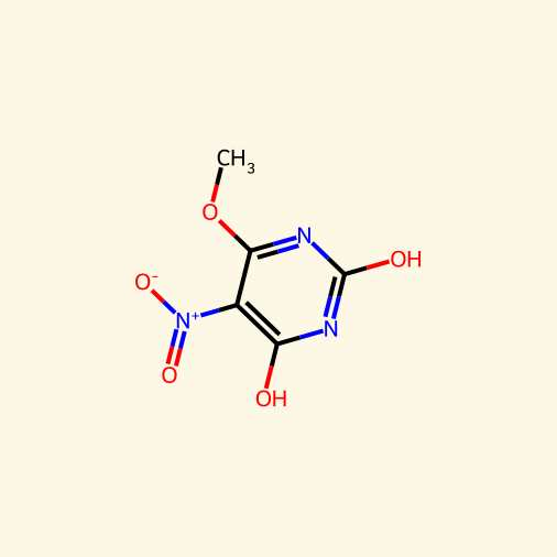 COc1nc(O)nc(O)c1[N+](=O)[O-]